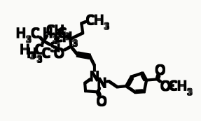 CCCC(C)C(C#CCN1CCC(=O)N1CCc1ccc(C(=O)OC)cc1)O[Si](C)(C)C(C)(C)C